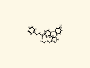 CCOCn1nnc(-c2ccc(Cl)cc2)c1-c1ccnc(NCCc2ccccc2)n1